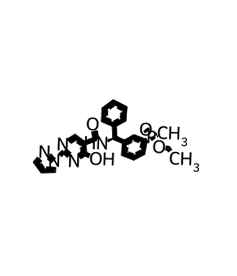 CCOP(C)(=O)c1cccc([C@@H](NC(=O)c2cnc(-n3cccn3)nc2O)c2ccccc2)c1